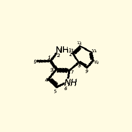 CC(N)c1cc[nH]c1-c1ccccc1